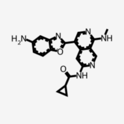 CNc1ncc(-c2nc3cc(N)ccc3o2)c2cc(NC(=O)C3CC3)ncc12